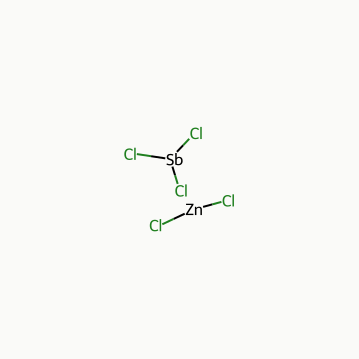 [Cl][Sb]([Cl])[Cl].[Cl][Zn][Cl]